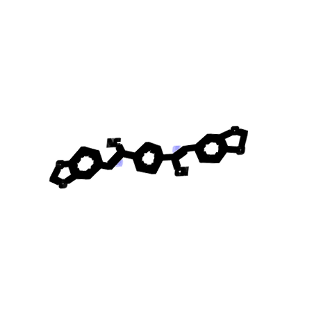 N#C/C(=C\c1ccc2c(c1)OCO2)c1ccc(/C(C#N)=C/c2ccc3c(c2)OCO3)cc1